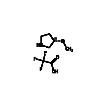 CO[C@H]1CCNC1.O=C(O)C(F)(F)F